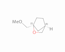 COC[C@@]12CC[C@@H](CO1)C2